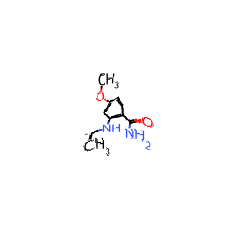 C[CH]Nc1cc(OC)ccc1C(N)=O